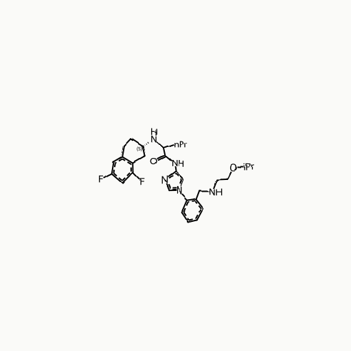 CCCC(N[C@H]1CCc2cc(F)cc(F)c2C1)C(=O)Nc1cn(-c2ccccc2CNCCOC(C)C)cn1